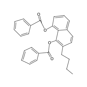 CCCCc1ccc2cccc(OC(=O)c3ccccc3)c2c1OC(=O)c1ccccc1